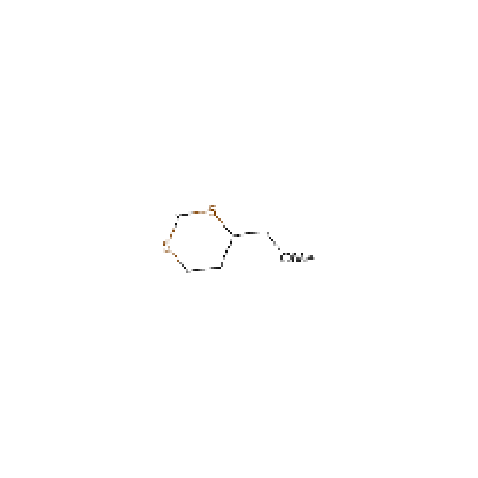 COCC1CCS[CH]S1